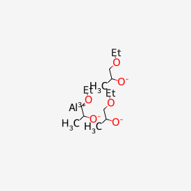 CCOCC(C)[O-].CCOCC(C)[O-].CCOCC(C)[O-].[Al+3]